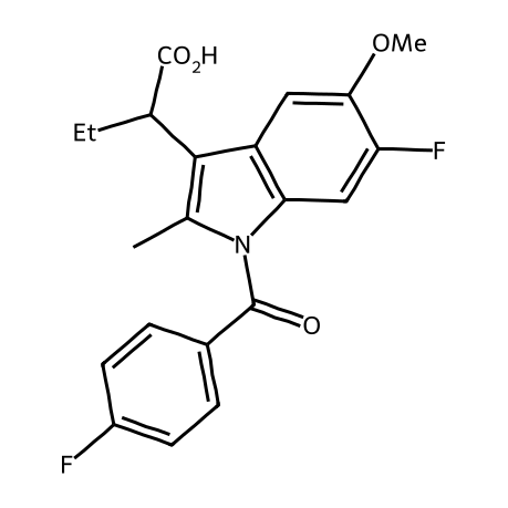 CCC(C(=O)O)c1c(C)n(C(=O)c2ccc(F)cc2)c2cc(F)c(OC)cc12